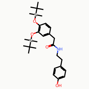 CC(C)(C)[Si](C)(C)Oc1ccc(CC(=O)NCCc2ccc(O)cc2)cc1O[Si](C)(C)C(C)(C)C